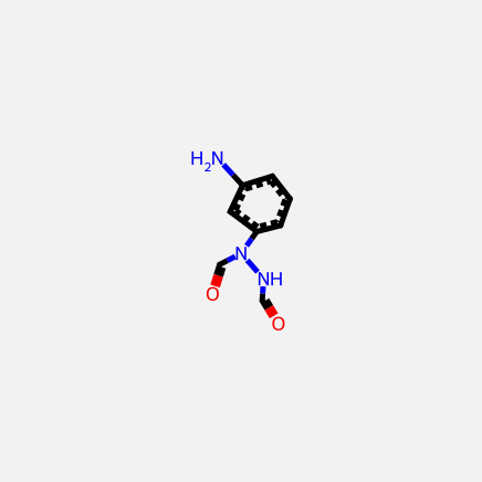 Nc1cccc(N(C=O)NC=O)c1